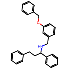 c1ccc(CCC(NCc2cccc(OCc3ccccc3)c2)c2ccccc2)cc1